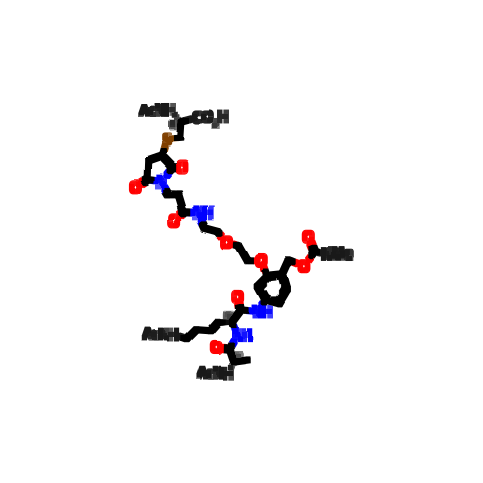 CNC(=O)OCc1ccc(NC(=O)[C@H](CCCCNC(C)=O)NC(=O)[C@H](C)NC(C)=O)cc1OCCOCCNC(=O)CCN1C(=O)CC(SC[C@H](NC(C)=O)C(=O)O)C1=O